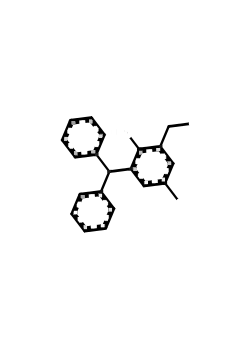 CCc1cc(C)cc(C(c2ccccc2)c2ccccc2)c1N